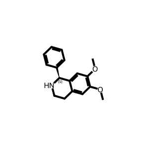 COc1cc2c(cc1OC)[C@H](c1ccccc1)NCC2